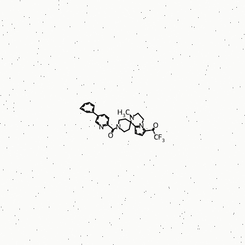 CN1CCn2c(C(=O)C(F)(F)F)ccc2C12CCN(C(=O)c1ccc(-c3ccccc3)cn1)CC2